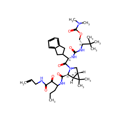 C=CCNC(=O)C(=O)C(CCC)NC(=O)[C@@H]1[C@@H]2[C@H](CN1C(=O)[C@@H](NC(=O)N[C@H](COC(=O)N(C)C)C(C)(C)C)C1Cc3ccccc3C1)C2(C)C